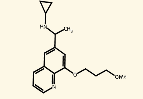 COCCCOc1cc(C(C)NC2CC2)cc2cccnc12